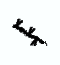 Bc1ccc(-c2ccc3c(c2)C(CCCCCCC)(CCCCCCCC)c2cc(-c4ccc(-c5ccc6c(c5)C(CCCCCCCC)(CCCCCCCC)c5cc(-c7ccc(-c8ccc9c(c8)C(C)(C)c8cc(-c%10ccc%11c(c%10)C(CCCCCCCC)(CCCCCCCC)c%10ccccc%10-%11)ccc8-9)cc7)ccc5-6)cc4)ccc2-3)cc1